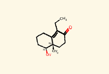 CCC1=C2CCC[C@H](O)[C@@]2(C)CCC1=O